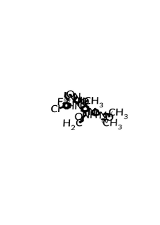 C=CC(=O)Nc1cc(Nc2cc(N3OCC[C@@H]3c3cccc(Cl)c3F)ncn2)c(OC)cc1N1CCC(N2C[C@@H](C)O[C@@H](C)C2)CC1